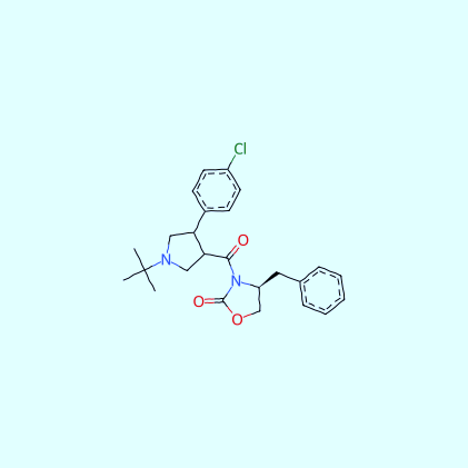 CC(C)(C)N1CC(C(=O)N2C(=O)OC[C@@H]2Cc2ccccc2)C(c2ccc(Cl)cc2)C1